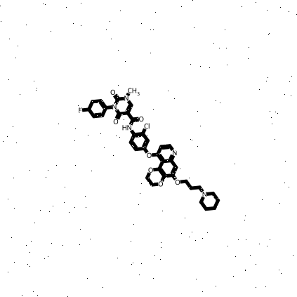 Cn1cc(C(=O)Nc2ccc(Oc3ccnc4cc(OCCCN5CCCCC5)c5c(c34)OCCO5)cc2Cl)c(=O)n(C2=CCC(F)C=C2)c1=O